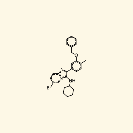 Cc1ccc(-c2nc3ccc(Br)cn3c2NC2CCCCC2)cc1OCc1ccccc1